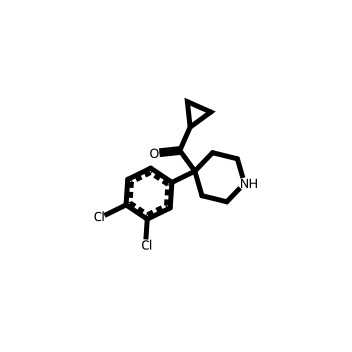 O=C(C1CC1)C1(c2ccc(Cl)c(Cl)c2)CCNCC1